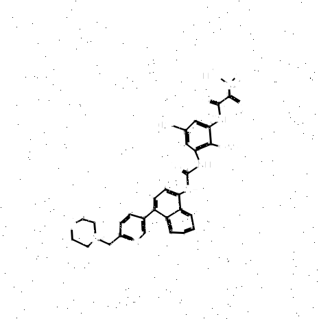 COc1c(NC(=O)Nc2ccc(-c3ccc(CN4CCOCC4)nc3)c3ccccc23)cc(C(C)(C)C)cc1NC(=O)C(=O)N(C)C